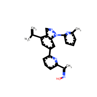 C=C(C)c1cc(-c2cccc(/C(C)=N\O)n2)cc2c1cnn2-c1cccc(C)n1